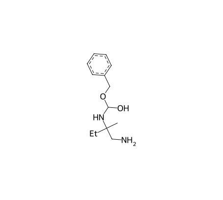 CCC(C)(CN)NC(O)OCc1ccccc1